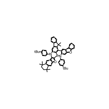 CC(C)(C)c1ccc(N2B3c4oc5cc6c(cc5c4N(c4ccc(C(C)(C)C)cc4)c4cc5c(c(c43)-c3cc4c(cc32)oc2ccccc24)C(C)(C)c2ccccc2-5)C(C)(C)CCC6(C)C)cc1